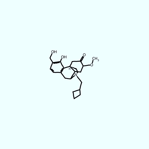 COC1CC2C3Cc4ccc(CO)c(O)c4[C@]2(CCN3CC2CCC2)CC1=O